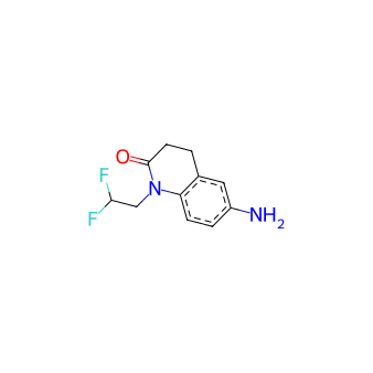 Nc1ccc2c(c1)CCC(=O)N2CC(F)F